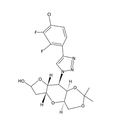 CC1(C)OC[C@H]2O[C@@H]3CC(O)O[C@@H]3[C@@H](n3cc(-c4ccc(Cl)c(F)c4F)nn3)[C@H]2O1